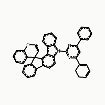 C1=CCCC(c2cc(-c3ccccc3)nc(-n3c4ccccc4c4c5c(ccc43)-c3ccccc3C53c4ccccc4Oc4ccccc43)n2)=C1